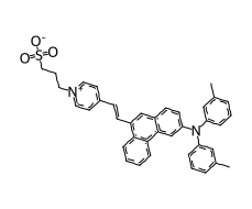 Cc1cccc(N(c2cccc(C)c2)c2ccc3cc(/C=C/c4cc[n+](CCCS(=O)(=O)[O-])cc4)c4ccccc4c3c2)c1